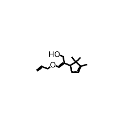 C=CCOC=C(CO)C1CC=C(C)C1(C)C